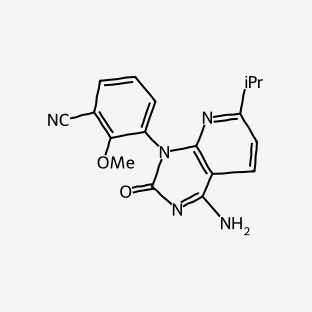 COc1c(C#N)cccc1-n1c(=O)nc(N)c2ccc(C(C)C)nc21